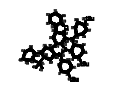 CC(C)(C)c1ccc(N2B3c4cc(C(C)(C)C)ccc4N(c4ccc(C(C)(C)C)cc4)c4c3c(cc3c4oc4ccccc43)-c3cc4c(cc32)C(C)(C)c2ccccc2-4)cc1